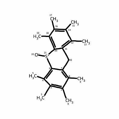 Cc1c(C)c(C)c2c(c1C)Cc1c(C)c(C)c(C)c(C)c1[S+]2[O-]